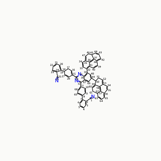 N#Cc1ccccc1-c1ccc(-c2nc(C3=CCC(c4ccccc4C#N)C=C3)nc3c(-c4ccc5c6c7c(ccc46)=CC=CC7CC=5)cc(C4CC=c5ccc6c7c5C4=CCC7C=CC=6)cc23)cc1